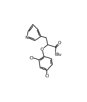 CC(C)(C)C(=O)C(Cc1cccnc1)Oc1ccc(Cl)cc1Cl